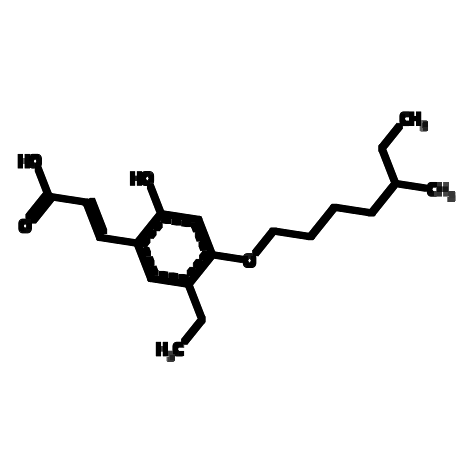 CCc1cc(C=CC(=O)O)c(O)cc1OCCCCC(C)CC